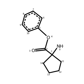 [NH]C1(C(=O)Oc2ccccc2)CCCC1